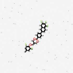 Cc1cc(F)c(OCC2COC(c3ccc(-c4ccc5c(F)c(F)c(F)cc5c4)cc3)OC2)c(F)c1